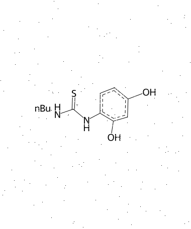 CCCCNC(=S)Nc1ccc(O)cc1O